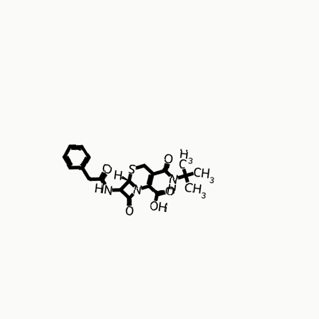 CC(C)(C)NC(=O)C1=C(C(=O)O)N2C(=O)C(NC(=O)Cc3ccccc3)[C@@H]2SC1